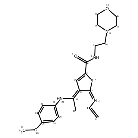 C=C/N=C1/SC(C(=O)NCCN2CCOCC2)=C/C1=C(/C)Nc1ccc(OC(F)(F)F)cc1